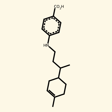 CC1=CCC(C(C)CCNc2ccc(C(=O)O)cc2)CC1